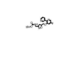 CC(C)(C)OC(=O)NCC1=NOC(COc2cc(F)cnc2-c2cccnc2)C1